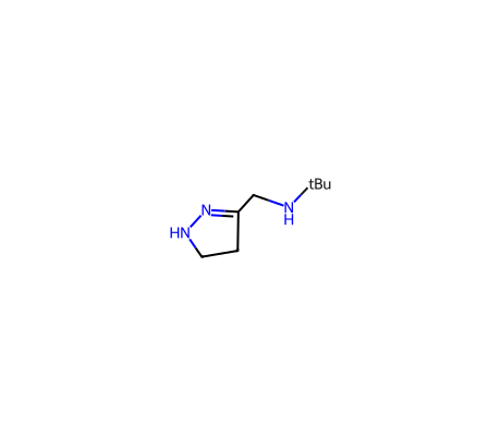 CC(C)(C)NCC1=NNCC1